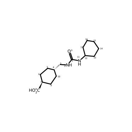 O=C(NC[C@H]1CC[C@H](C(=O)O)CC1)NC1CCCCC1